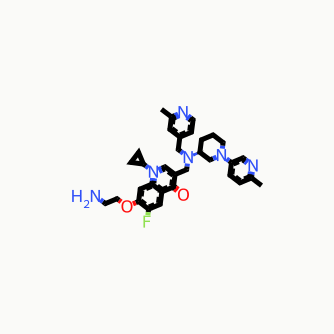 Cc1ccc(N2CCC[C@H](N(Cc3ccnc(C)c3)Cc3cn(C4CC4)c4cc(OCCN)c(F)cc4c3=O)C2)cn1